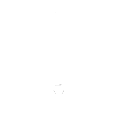 CCCSCCCCCCCCCCCCc1c(F)cc(F)cc1F